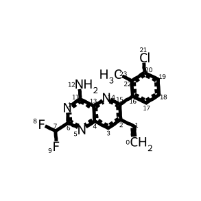 C=Cc1cc2nc(C(F)F)nc(N)c2nc1-c1cccc(Cl)c1C